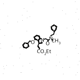 CCOC(=O)C=Cc1cn(CC(=O)N(C)CCc2ccccc2)c2cccc(OCc3ccccc3)c12